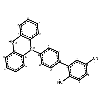 N#Cc1ccc(C#N)c(-c2ccc(N3c4ccccc4Nc4ccccc43)cc2)c1